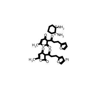 CC1=CC(=O)C(C(=O)CCc2ccco2)C(=O)O1.CC1=CC(=O)C(C(=O)CCc2ccco2)C(=O)O1.N[C@@H]1CCCC[C@H]1N.[Pt]